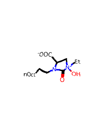 CCCCCCCCCCN1C(=O)[N+](O)(CC)CC1C(=O)[O-]